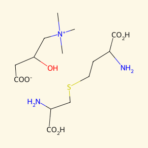 C[N+](C)(C)CC(O)CC(=O)[O-].NC(CCSCC(N)C(=O)O)C(=O)O